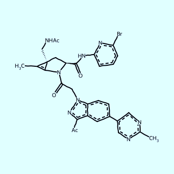 CC(=O)NC[C@]12C[C@@H](C(=O)Nc3cccc(Br)n3)N(C(=O)Cn3nc(C(C)=O)c4cc(-c5cnc(C)nc5)ccc43)C1=C2C